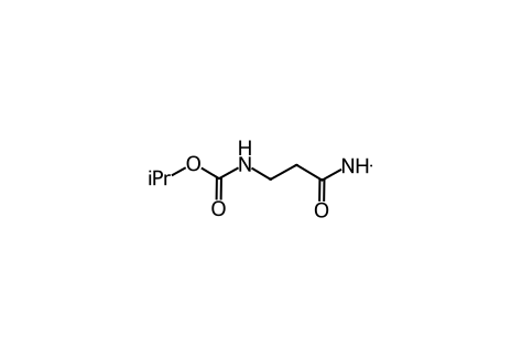 CC(C)OC(=O)NCCC([NH])=O